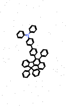 c1ccc(-c2c(-c3ccc(-c4ccc(N(c5ccccc5)c5ccccc5)cc4)cc3)c3c(c4ccccc24)C(c2ccccc2)(c2ccccc2)c2ccccc2-3)cc1